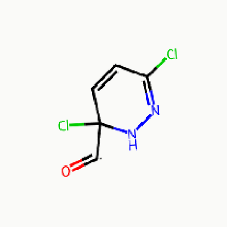 O=[C]C1(Cl)C=CC(Cl)=NN1